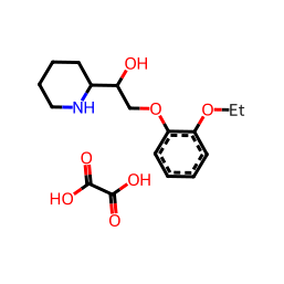 CCOc1ccccc1OCC(O)C1CCCCN1.O=C(O)C(=O)O